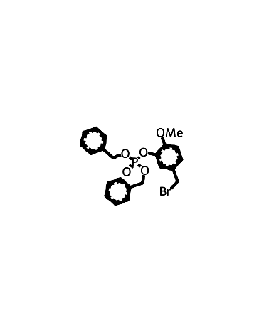 COc1ccc(CBr)cc1OP(=O)(OCc1ccccc1)OCc1ccccc1